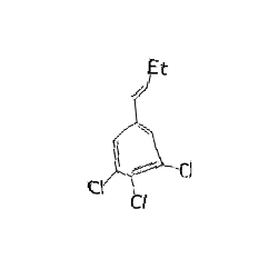 CCC=Cc1cc(Cl)c(Cl)c(Cl)c1